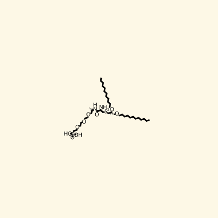 CCCCCCCCCCCCOC[C@H](CSC[C@H](N)C(=O)N[C@@H](C)COCCOCCOCCP(=O)(O)O)OCCCCCCCCCCCC